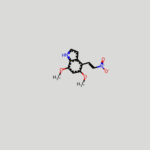 COc1cc(OC)c2[nH]ccc2c1C=C[N+](=O)[O-]